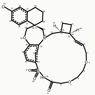 O=C1COCCOC/C=C/[C@@H]2CC[C@@H]2CN2C[C@@]3(CCCc4cc(Cl)ccc43)COc3ccc(cc32)S(=O)(=O)N1